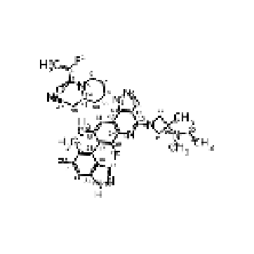 C=C(F)C(=O)N1CC[C@H](n2nnc3c(N4CC(C)(N(C)CC)C4)nc4c(F)c(-c5c(C)c(F)cc6[nH]ncc56)c(C)cc4c32)C[C@H]1CC#N